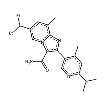 CCC(CC)c1cc(C)c2nc(-c3cnc(N(C)C)cc3C)c(C(N)=O)n2c1